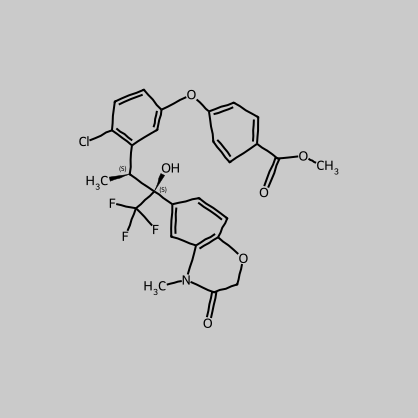 COC(=O)c1ccc(Oc2ccc(Cl)c([C@H](C)[C@](O)(c3ccc4c(c3)N(C)C(=O)CO4)C(F)(F)F)c2)cc1